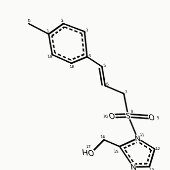 Cc1ccc(C=CCS(=O)(=O)n2ccnc2CO)cc1